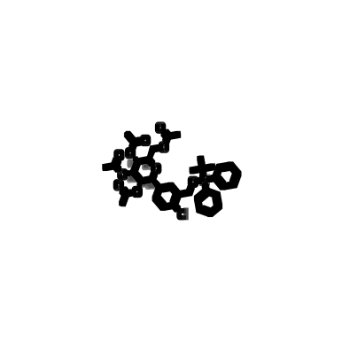 CC(=O)OC[C@H]1O[C@@H](c2ccc(Cl)c(CO[Si](c3ccccc3)(c3ccccc3)C(C)(C)C)c2)[C@H](OC(C)=O)[C@@H](OC(C)=O)[C@@H]1OC(C)=O